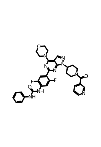 O=C(Nc1ccccc1)Nc1cc(F)c(-c2nc(N3CCOCC3)c3cnn(C4CCN(C(=O)c5cccnc5)CC4)c3n2)cc1F